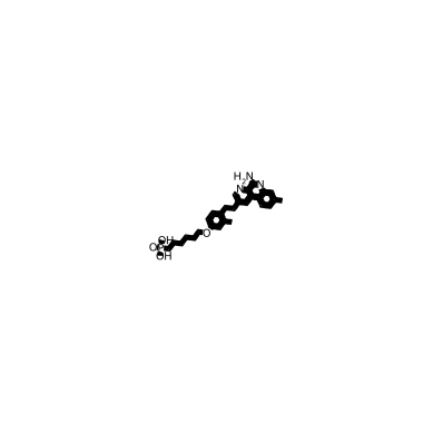 Cc1ccc2c(c1)nc(N)c1ncc(CCc3ccc(OCCCCCCP(=O)(O)O)cc3C)cc12